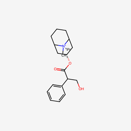 CC(C)[N@+]1(C)C2CCCC1C[C@H](OC(=O)C(CO)c1ccccc1)C2